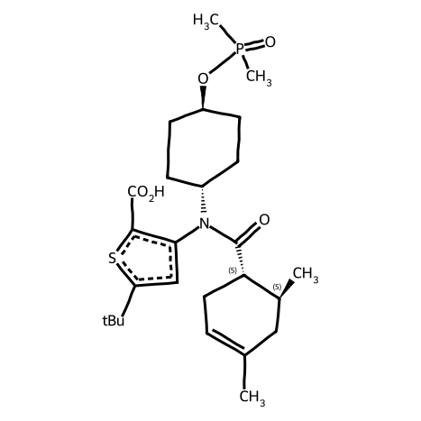 CC1=CC[C@H](C(=O)N(c2cc(C(C)(C)C)sc2C(=O)O)[C@H]2CC[C@H](OP(C)(C)=O)CC2)[C@@H](C)C1